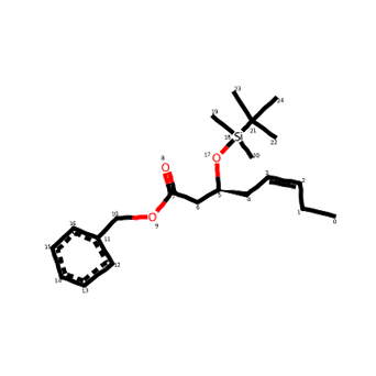 CC/C=C\C[C@@H](CC(=O)OCc1ccccc1)O[Si](C)(C)C(C)(C)C